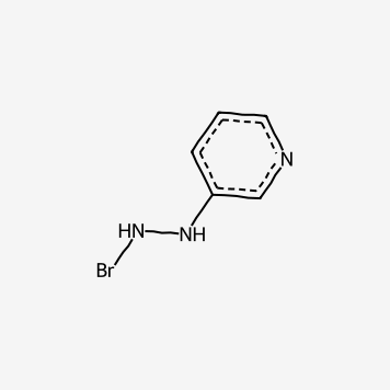 BrNNc1cccnc1